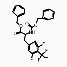 O=C(NC(Cc1cc(F)c(C(F)(F)F)c(F)c1)C(=O)OCc1ccccc1)OCc1ccccc1